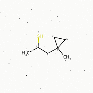 CC(S)CC1(C)CC1